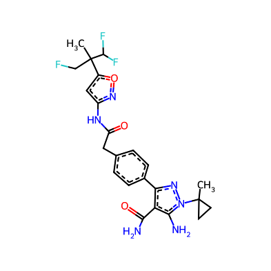 CC(CF)(c1cc(NC(=O)Cc2ccc(-c3nn(C4(C)CC4)c(N)c3C(N)=O)cc2)no1)C(F)F